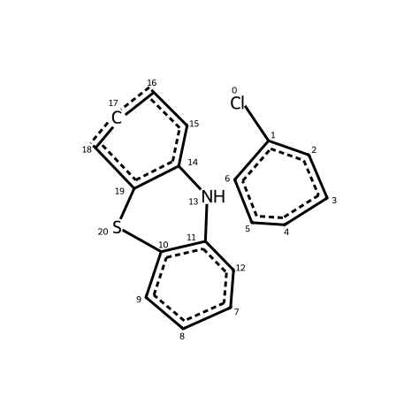 Clc1ccccc1.c1ccc2c(c1)Nc1ccccc1S2